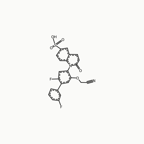 N#CCOc1cc(-c2cccc(F)c2)c(F)cc1-n1c(=O)ccc2cc(S(=O)(=O)O)ccc21